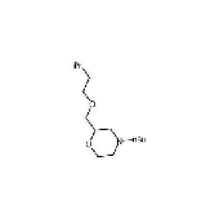 CCCCN1CCOC(COCCC(C)C)C1